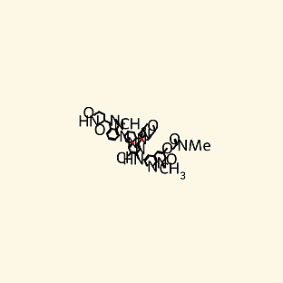 CNC(=O)COc1cc2cc(Nc3nc(N4CC5COCC(C4)N5CC4CCN(c5cccc6c(C7CCC(=O)NC7=O)nn(C)c56)CC4)ncc3Cl)cnc2n(C)c1=O